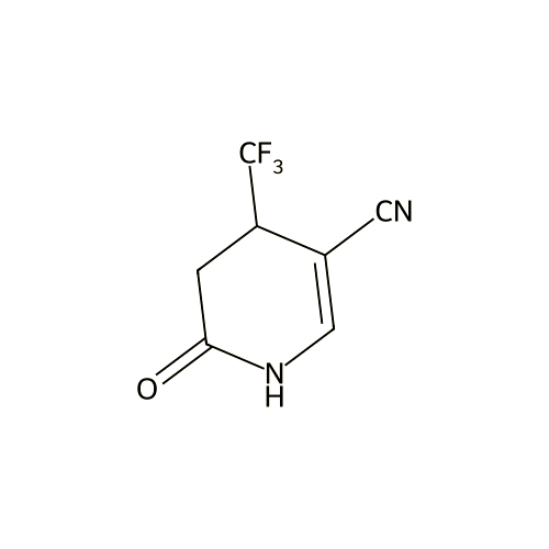 N#CC1=CNC(=O)CC1C(F)(F)F